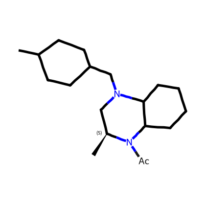 CC(=O)N1C2CCCCC2N(CC2CCC(C)CC2)C[C@@H]1C